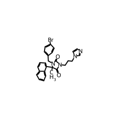 CC1(c2cccc3ccccc23)C(=O)N(CCCn2ccnc2)C(=O)N1Cc1ccc(Br)cc1